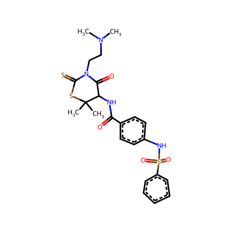 CN(C)CCN1C(=O)C(NC(=O)c2ccc(NS(=O)(=O)c3ccccc3)cc2)C(C)(C)SC1=S